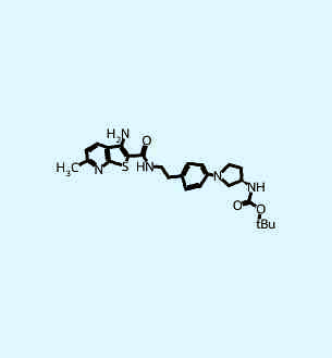 Cc1ccc2c(N)c(C(=O)NCCc3ccc(N4CC[C@@H](NC(=O)OC(C)(C)C)C4)cc3)sc2n1